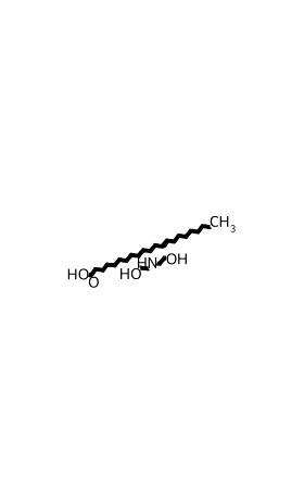 CCCCCCCCC=CCCCCCCCCCCCC(=O)O.OCCNCCO